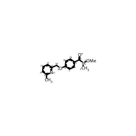 CON(C)C(=O)c1ccc(OCc2cccc(C)n2)cc1